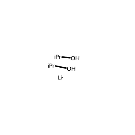 CC(C)O.CC(C)O.[Li]